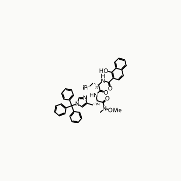 CON(C)C(=O)[C@H](Cc1cn(C(c2ccccc2)(c2ccccc2)c2ccccc2)cn1)NC(=O)[C@H](CC(C)C)NC(=O)c1ccc2ccccc2c1O